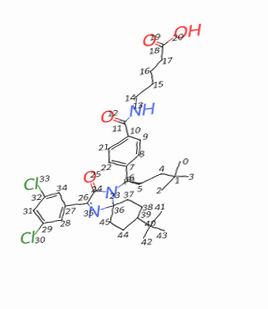 CC(C)(C)CC[C@H](c1ccc(C(=O)NCCCCC(=O)O)cc1)N1C(=O)C(c2cc(Cl)cc(Cl)c2)=NC12CCC(C(C)(C)C)CC2